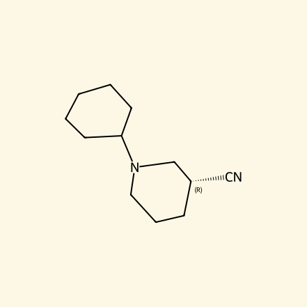 N#C[C@@H]1CCCN(C2CCCCC2)C1